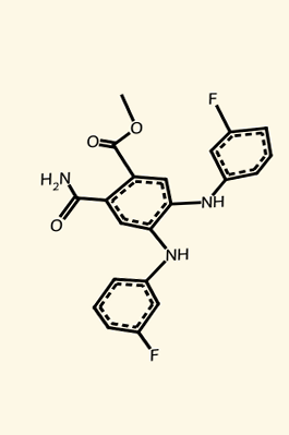 COC(=O)c1cc(Nc2cccc(F)c2)c(Nc2cccc(F)c2)cc1C(N)=O